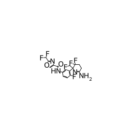 NC1=NC(CF)(c2cc(NC(=O)c3coc(C(F)F)n3)ccc2F)C(F)(F)CC1